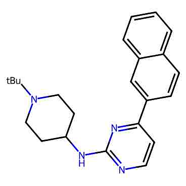 CC(C)(C)N1CCC(Nc2nccc(-c3ccc4ccccc4c3)n2)CC1